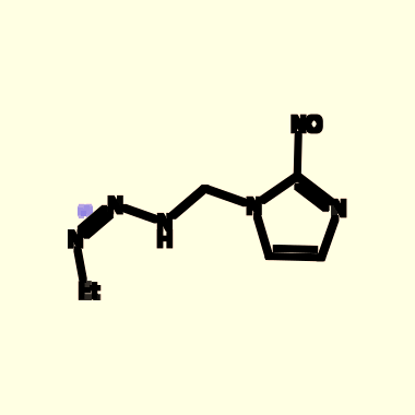 CC/N=N\NCn1ccnc1N=O